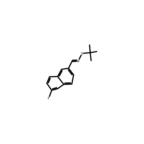 CC(C)(C)SN=Cc1ccc2cc(F)ccc2c1